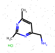 Cc1cc(CN)nc(C)n1.Cl